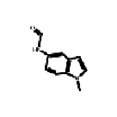 Cn1ccc2cc(NC=O)ccc21